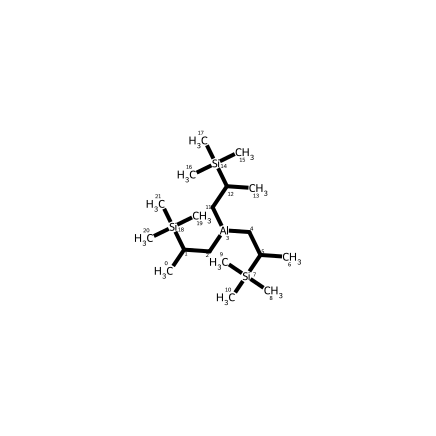 CC([CH2][Al]([CH2]C(C)[Si](C)(C)C)[CH2]C(C)[Si](C)(C)C)[Si](C)(C)C